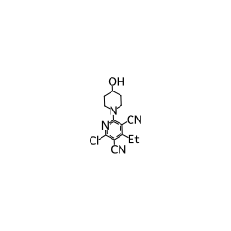 CCc1c(C#N)c(Cl)nc(N2CCC(O)CC2)c1C#N